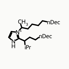 CCCCCCCCCCCCCCC(C)[n+]1cc[nH]c1C(CCCCCCCCCCCC)C(C)C